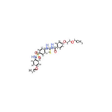 CCOCCOc1ccc(C(=O)NC(=S)Nc2ccc(S(=O)(=O)Nc3ccc(OC)cc3)cc2)cc1